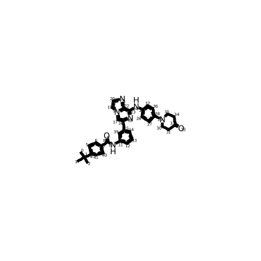 CC(C)(C)c1ccc(C(=O)Nc2cccc(-c3cn4ccnc4c(Nc4ccc(N5CCC(=O)CC5)cc4)n3)c2)cc1